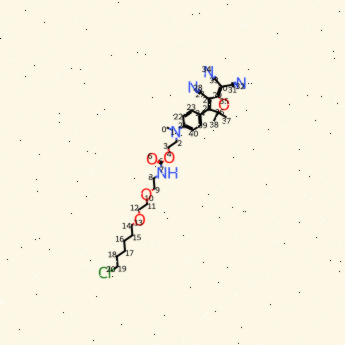 CN(CCOC(=O)NCCOCCOCCCCCCCl)c1ccc(C2=C(C#N)C(=C(C#N)C#N)OC2(C)C)cc1